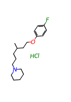 CC(CCCN1CCCCC1)CCOc1ccc(F)cc1.Cl